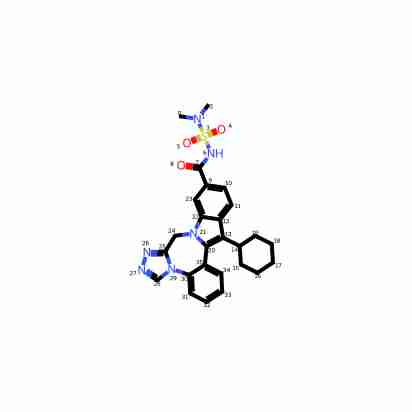 CN(C)S(=O)(=O)NC(=O)c1ccc2c(C3CCCCC3)c3n(c2c1)Cc1nncn1-c1ccccc1-3